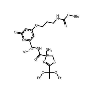 CCC[C@@H](NC(=O)[C@]1(N)CSC(C(C)(OCC)OCC)=N1)c1cc(OCCCNC(=O)OC(C)(C)C)cc(=O)o1